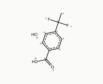 CC(F)(F)c1ccc(C(=O)O)cc1.Cl